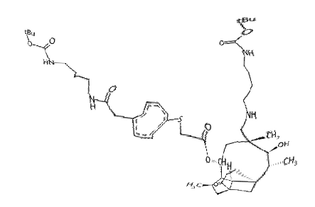 C[C@@H]1C[C@@]23C[C@@]4(CCC2=O)[C@@H]3[C@]1(C)[C@H](OC(=O)CSc1ccc(CC(=O)NCCCNC(=O)OC(C)(C)C)cc1)C[C@](C)(CNCCCNC(=O)OC(C)(C)C)[C@@H](O)[C@@H]4C